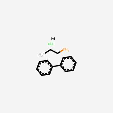 CCCP.Cl.[Pd].c1ccc(-c2ccccc2)cc1